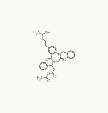 NC(S)CCCc1ccc2c(c1)C(=O)N(C(CC(=O)OC(=O)C(F)(F)F)c1ccccc1)CC(=O)N2Cc1ccccc1